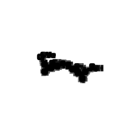 COC(=O)CCc1ccc(N(c2ccccc2)c2ccc3c(c2)C(C)(C)c2cc(-c4ccc(-c5ccc(-c6ccc7c(c6)C(C)(C)c6cc(N(c8ccccc8)c8ccc(CCC(=O)CO)cc8)ccc6-7)s5)s4)ccc2-3)cc1